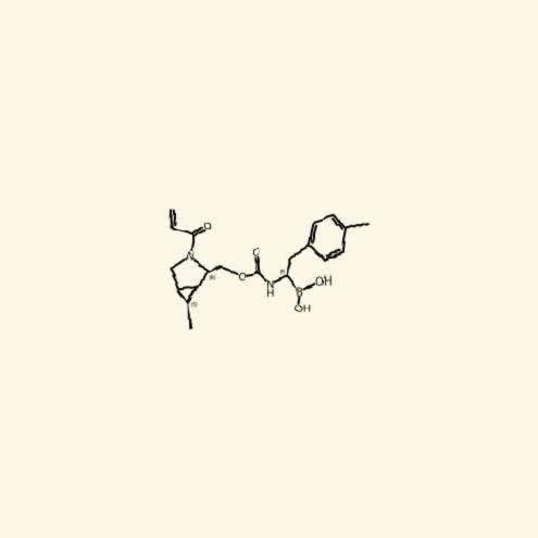 C=CC(=O)N1CC2C([C@H]2C)[C@@H]1COC(=O)N[C@@H](Cc1ccc(C)cc1)B(O)O